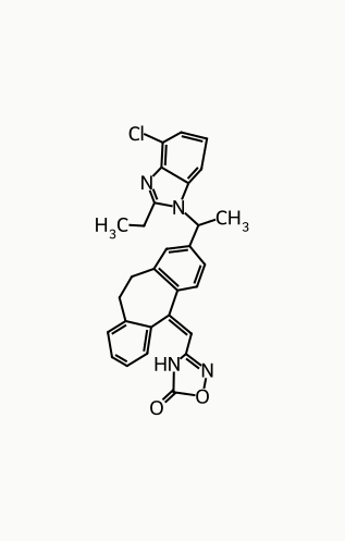 CCc1nc2c(Cl)cccc2n1C(C)c1ccc2c(c1)CCc1ccccc1C2=Cc1noc(=O)[nH]1